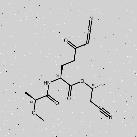 CO[C@@H](C)C(=O)N[C@@H](CCC(=O)C=[N+]=[N-])C(=O)O[C@H](C)CC#N